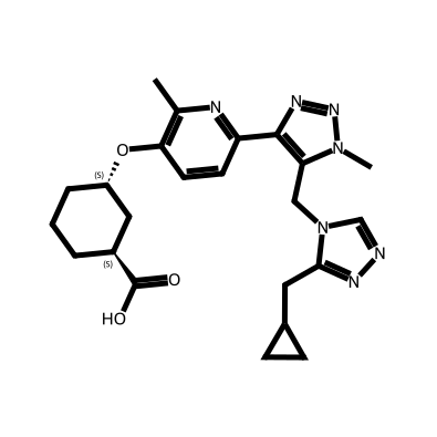 Cc1nc(-c2nnn(C)c2Cn2cnnc2CC2CC2)ccc1O[C@H]1CCC[C@H](C(=O)O)C1